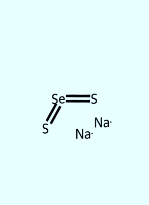 S=[Se]=S.[Na].[Na]